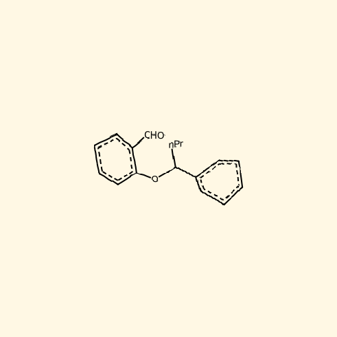 CCCC(Oc1ccccc1[C]=O)c1ccccc1